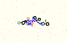 Cn1c(C(=O)NCC(=O)NCC(CCCN2CCC(c3ccccc3F)CC2)(c2ccccc2)c2ccccc2)cc2cc(Cl)ccc21